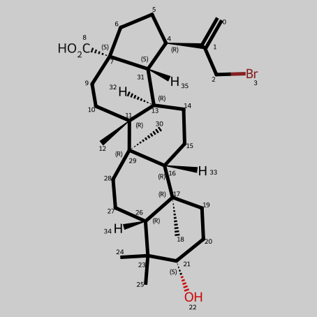 C=C(CBr)[C@@H]1CC[C@]2(C(=O)O)CC[C@]3(C)[C@H](CC[C@@H]4[C@@]5(C)CC[C@H](O)C(C)(C)[C@@H]5CC[C@]43C)[C@@H]12